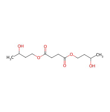 CC(O)CCOC(=O)CCC(=O)OCCC(C)O